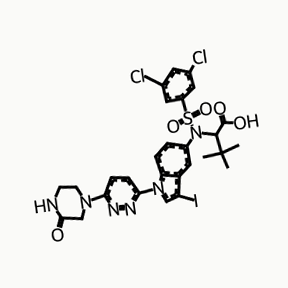 CC(C)(C)C(C(=O)O)N(c1ccc2c(c1)c(I)cn2-c1ccc(N2CCNC(=O)C2)nn1)S(=O)(=O)c1cc(Cl)cc(Cl)c1